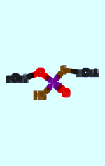 CCCCCCCCOP(=O)(S)SCCCCCCCC